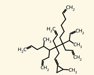 C=CCCCCC(CC=C)(C(C)C=C)C(CC=C)(CC=C1CC1C)C(CC=C)C(C)CC=C